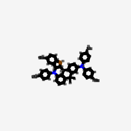 CC(C)(C)c1ccc(N(c2ccc(C(C)(C)C)cc2)c2ccc3c(c2)C(C)(C)c2cccc4c2B3c2sc3ccc(C(C)(C)C)cc3c2N4c2ccc(C(C)(C)C)cc2)cc1